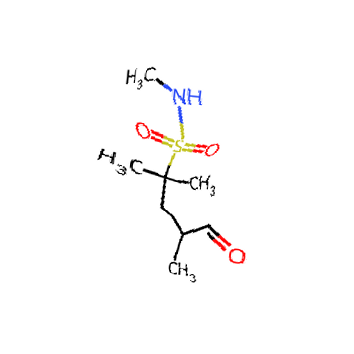 CNS(=O)(=O)C(C)(C)CC(C)C=O